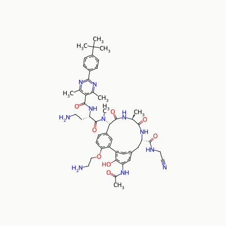 CC(=O)Nc1cc2cc(c1O)-c1cc(ccc1OCCN)[C@H](N(C)C(=O)[C@H](CCN)NC(=O)c1c(C)nc(-c3ccc(C(C)(C)C)cc3)nc1C)C(=O)N[C@@H](C)C(=O)N[C@H](C(=O)NCC#N)C2